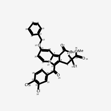 CCC(C)(Cc1c(C(=O)C(C)(C)C)c2cc(OCc3ccccc3)ccn2c1C(=O)c1ccc(Cl)c(Cl)c1)C(=O)OC